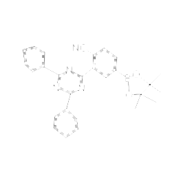 CC1(C)OB(c2ccc(C#N)c(-c3nc(-c4ccccc4)nc(-c4ccccc4)n3)c2)OC1(C)C